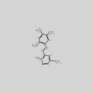 Cc1cc[n+]([O-])c(N=Nc2cc(C)c(N)cc2N)c1